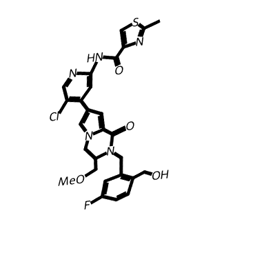 COCC1Cn2cc(-c3cc(NC(=O)c4csc(C)n4)ncc3Cl)cc2C(=O)N1Cc1cc(F)ccc1CO